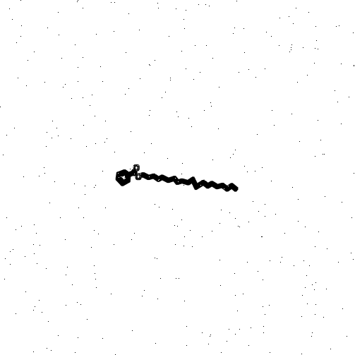 CCCCCCCCCCCCCCCCCCCCOC(=O)c1ccccc1